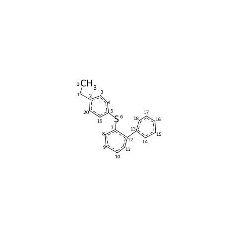 CCc1ccc(Sc2ccccc2-c2ccccc2)cc1